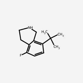 CC(C)(C)c1ccc(F)c2c1CNCC2